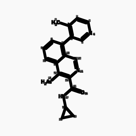 Cc1ccncc1-c1cccc2c([AsH2])c(C(=O)NC3CC3)nnc12